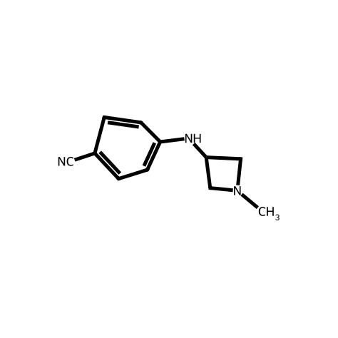 CN1CC(Nc2ccc(C#N)cc2)C1